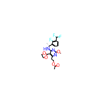 COc1nc(CCOC(C)=O)c(C2OCCO2)c(N[C@H](C)c2cccc(C(F)F)c2F)n1